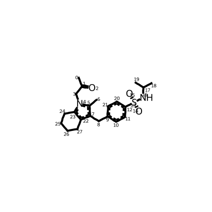 CC(=O)Cn1c(C)c(Cc2ccc(S(=O)(=O)NC(C)C)cc2)c2c1CCCC2